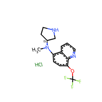 CN(c1ccc(OC(F)(F)F)c2ncccc12)[C@H]1CCNC1.Cl